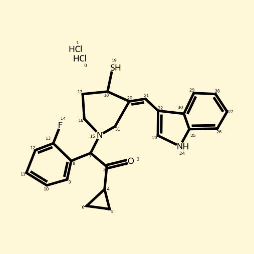 Cl.Cl.O=C(C1CC1)C(c1ccccc1F)N1CCC(S)/C(=C/c2c[nH]c3ccccc23)C1